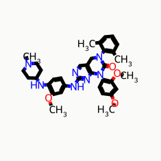 COc1ccc(N2C(=O)N(c3c(C)cccc3C)Cc3cnc(Nc4ccc(NC5CCN(C)CC5)c(OC)c4)nc32)c(OC)c1